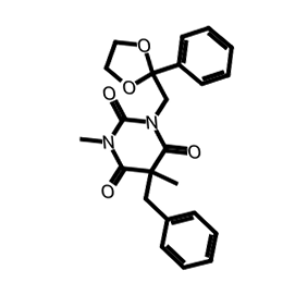 CN1C(=O)N(CC2(c3ccccc3)OCCO2)C(=O)C(C)(Cc2ccccc2)C1=O